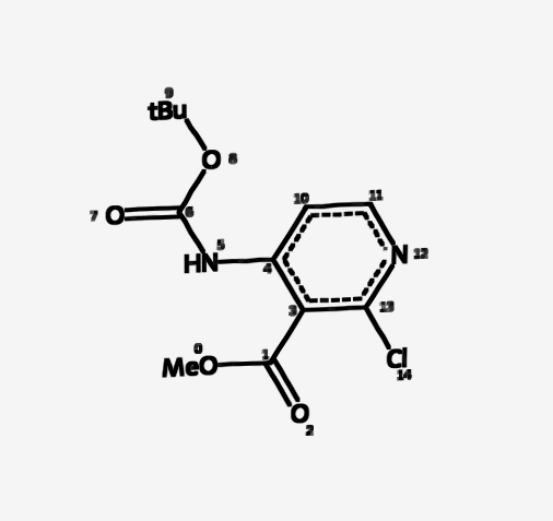 COC(=O)c1c(NC(=O)OC(C)(C)C)ccnc1Cl